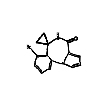 O=C1NC2(CC2)c2c(Br)cccc2-n2cccc21